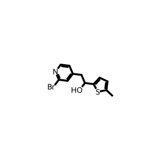 Cc1ccc(C(O)Cc2ccnc(Br)c2)s1